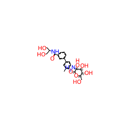 Cc1cc(-c2cccc(C(=O)NC(CO)CO)c2)ccc1O[C@H]1O[C@H](CO)[C@@H](O)[C@H](O)[C@]1(N)O